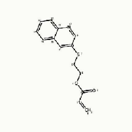 C=CC(=O)OCCSc1cnc2ccccc2c1